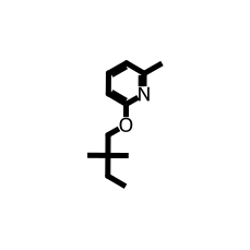 CCC(C)(C)COc1cccc(C)n1